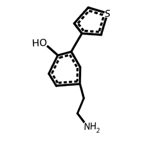 NCCc1ccc(O)c(-c2ccsc2)c1